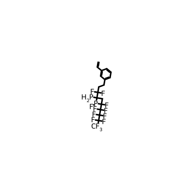 C=Cc1cccc(CCC(F)(F)C2(P)CC(F)(C(F)(F)C(F)(F)C(F)(F)C(F)(F)F)P2F)c1